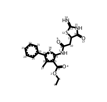 CCOC(=O)c1c(NC(=O)CC2SC(=N)NC2=O)sc(-c2ccccc2)c1C